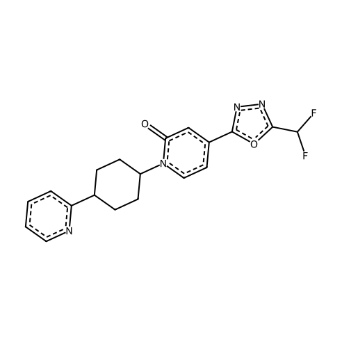 O=c1cc(-c2nnc(C(F)F)o2)ccn1C1CCC(c2ccccn2)CC1